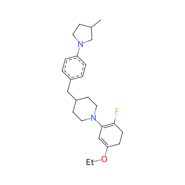 CCOC1=CC(N2CCC(Cc3ccc(N4CCC(C)C4)cc3)CC2)=C(F)CC1